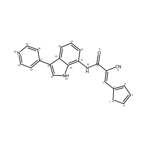 N#CC(=Cc1cccs1)C(=O)Nc1cccc2c(-c3ccncc3)c[nH]c12